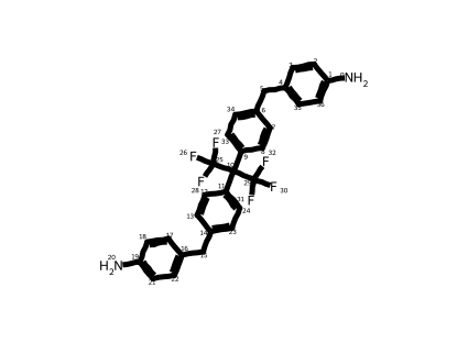 Nc1ccc(Cc2ccc(C(c3ccc(Cc4ccc(N)cc4)cc3)(C(F)(F)F)C(F)(F)F)cc2)cc1